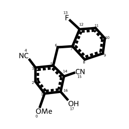 COc1cc(C#N)c(Cc2ccccc2F)c(C#N)c1O